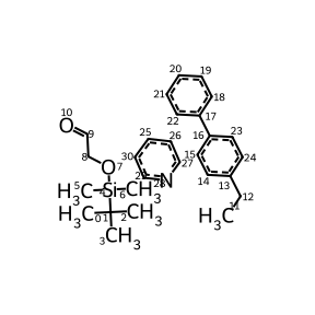 CC(C)(C)[Si](C)(C)OCC=O.CCc1ccc(-c2ccccc2)cc1.c1ccncc1